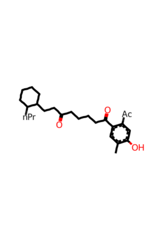 CCCC1CCCCC1CCC(=O)CCCCC(=O)c1cc(C)c(O)cc1C(C)=O